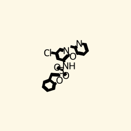 Cc1ncccc1Oc1ncc(Cl)cc1NS(=O)(=O)c1cc2ccccc2o1